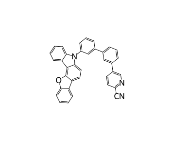 N#Cc1ccc(-c2cccc(-c3cccc(-n4c5ccccc5c5c6oc7ccccc7c6ccc54)c3)c2)cn1